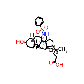 C[C@H](CCC(=O)O)[C@H]1CC[C@H]2[C@@H]3[C@@H](NS(=O)(=O)c4ccccc4)C[C@@H]4C[C@H](O)CC[C@]4(C)[C@H]3CC[C@]12C